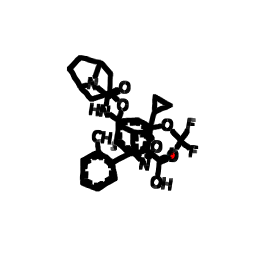 Cc1ccccc1-c1noc(C2CC2)c1COC1CC2CCC(C1)N2C(=O)Nc1ccc(C(=O)O)c(OC(F)(F)F)c1